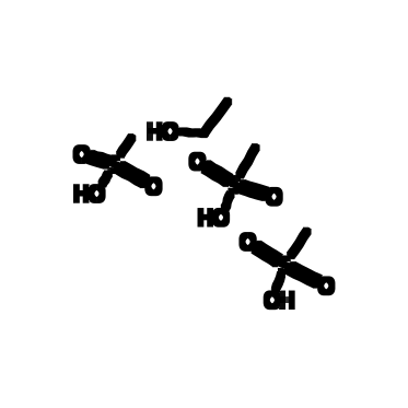 CCO.CS(=O)(=O)O.CS(=O)(=O)O.CS(=O)(=O)O